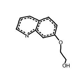 OCCOc1ccc2cccnc2c1